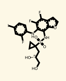 O=S(=O)(Nc1c(Nc2ccc(I)cc2F)c(F)c(F)c2ccoc12)C1(C[C@@H](O)CO)CC1